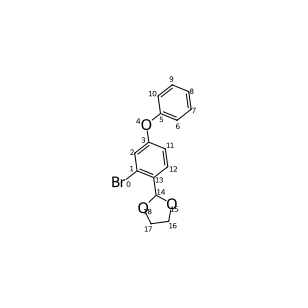 Brc1cc(Oc2ccccc2)ccc1C1OCCO1